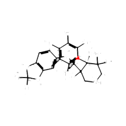 [2H]c1c([2H])c([C@]2([2H])C([2H])([2H])CNCC2([2H])C([2H])([2H])Oc2ccc3c(c2)OC([2H])([2H])O3)c([2H])c([2H])c1F